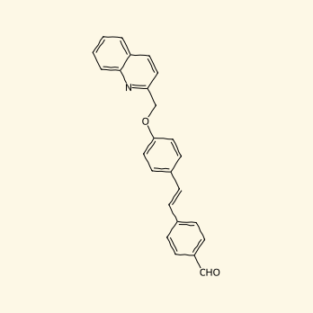 O=Cc1ccc(C=Cc2ccc(OCc3ccc4ccccc4n3)cc2)cc1